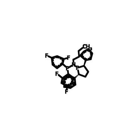 CCCCN(P(c1ccc(F)cc1F)c1ccc(F)cc1F)P1[C@@H](c2ccccc2)CC[C@@H]1c1ccccc1